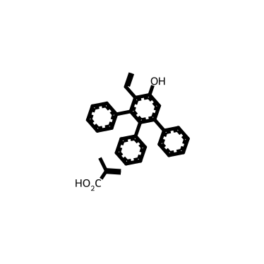 C=C(C)C(=O)O.C=Cc1c(O)cc(-c2ccccc2)c(-c2ccccc2)c1-c1ccccc1